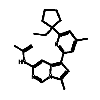 C=C(C)Nc1cc2c(-c3cc(C)cc(C4(CC)CCCC4)n3)cc(C)n2cn1